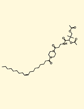 CCCCCCCC/C=C\CCCCCCCC(=O)N1CCN(C(=O)CCNC(=O)C(OC(C)=O)C(C)(C)COC(C)=O)CC1